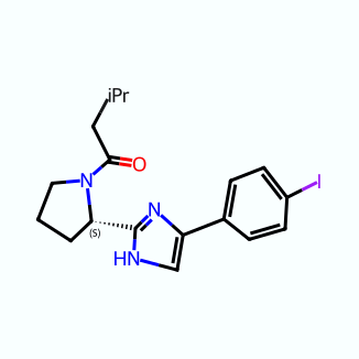 CC(C)CC(=O)N1CCC[C@H]1c1nc(-c2ccc(I)cc2)c[nH]1